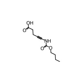 CCCCOC(=O)NC#CCCC(=O)O